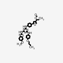 CCCCOc1ccc(Nc2nc(Nc3ccc(-c4cc(C(CC)O[C]=O)co4)cc3)nc(Nc3nc4ccc(OC)cc4s3)n2)cc1